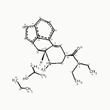 CC(C)O.CCN(CC)C(=O)[C@@H]1C=C2c3cccc4[nH]cc(c34)C[C@H]2N(C)C1.C[CH]C